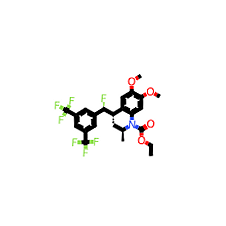 CCOC(=O)N1c2cc(OC)c(OC)cc2[C@@H]([C@@H](F)c2cc(C(F)(F)F)cc(C(F)(F)F)c2)C[C@@H]1C